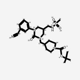 CC(C)(C)OC(=O)N1CCC(CN2CC(CNS(C)(=O)=O)CN(c3cccc(C#N)c3)C2=O)CC1